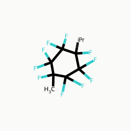 CC(C)C1(F)C(F)(F)C(F)(F)C(C)(F)C(F)(F)C1(F)F